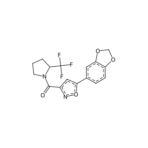 O=C(c1cc(-c2ccc3c(c2)OCO3)on1)N1CCCC1C(F)(F)F